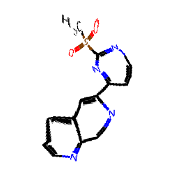 CS(=O)(=O)c1nccc(-c2cc3cccnc3cn2)n1